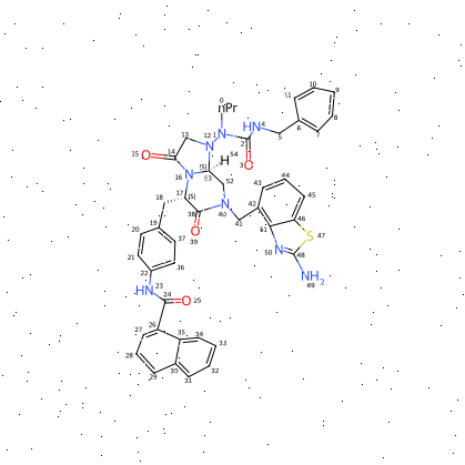 CCCN(C(=O)NCc1ccccc1)N1CC(=O)N2[C@@H](Cc3ccc(NC(=O)c4cccc5ccccc45)cc3)C(=O)N(Cc3cccc4sc(N)nc34)C[C@@H]21